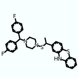 CC(SN1CCN(C(c2ccc(F)cc2)c2ccc(F)cc2)CC1)c1ccc2c(c1)Nc1ccccc1S2